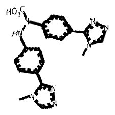 Cn1cnnc1-c1ccc(NN(C(=O)O)c2ccc(-c3nncn3C)cc2)cc1